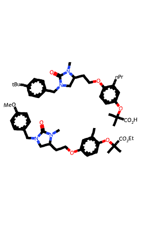 CCCc1cc(OC(C)(C)C(=O)O)ccc1OCCC1CN(Cc2ccc(C(C)(C)C)cc2)C(=O)N1C.CCOC(=O)C(C)(C)Oc1ccc(OCCC2CN(Cc3ccc(OC)cc3)C(=O)N2C)cc1C